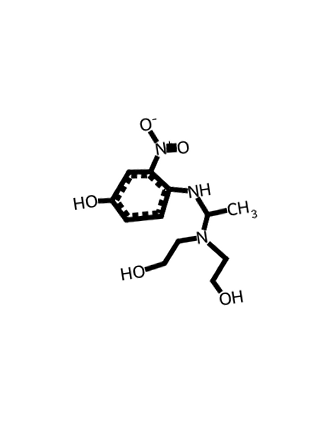 CC(Nc1ccc(O)cc1[N+](=O)[O-])N(CCO)CCO